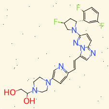 OCC(O)N1CCN(c2ccc(/C=C/c3cnc4ccc(N5C[C@@H](F)C[C@@H]5c5cc(F)ccc5F)nn34)nc2)CC1